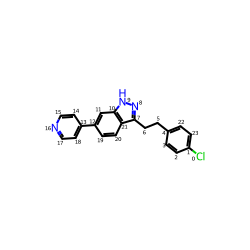 Clc1ccc(CCc2n[nH]c3cc(-c4ccncc4)ccc23)cc1